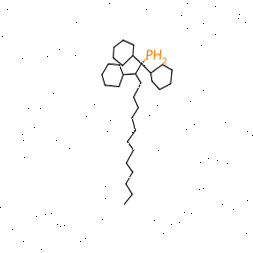 CCCCCCCCCCCCC(C1CCCCC1)C(P)(C1CCCCC1)C1CCCCC1